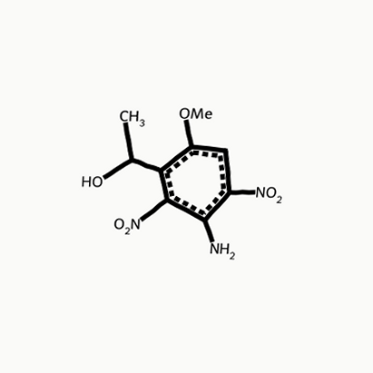 COc1cc([N+](=O)[O-])c(N)c([N+](=O)[O-])c1C(C)O